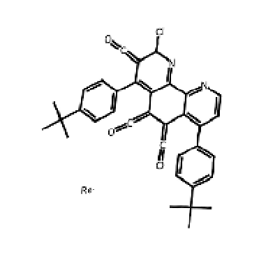 CC(C)(C)c1ccc(C2=c3c(=C=O)c(=C=O)c4c(-c5ccc(C(C)(C)C)cc5)ccnc4c3=NC(Cl)C2=C=O)cc1.[Re]